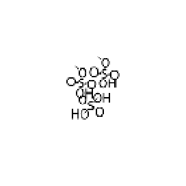 COS(=O)(=O)O.COS(=O)(=O)O.O=S(=O)(O)O